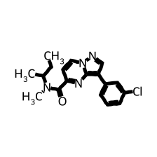 CCC(C)N(C)C(=O)c1ccn2ncc(-c3cccc(Cl)c3)c2n1